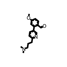 COc1ccc(C=O)c(-c2ccc(CCCN(C)C)nc2)c1